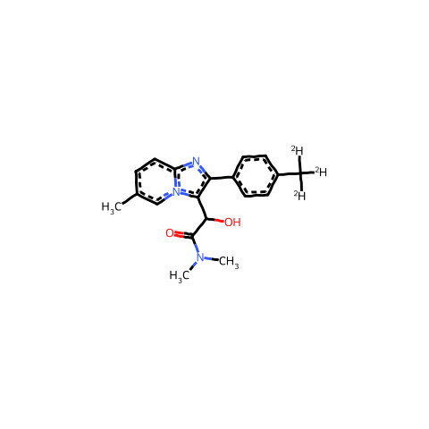 [2H]C([2H])([2H])c1ccc(-c2nc3ccc(C)cn3c2C(O)C(=O)N(C)C)cc1